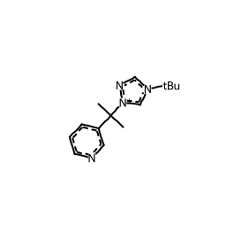 CC(C)(C)n1cn[n+](C(C)(C)c2cccnc2)c1